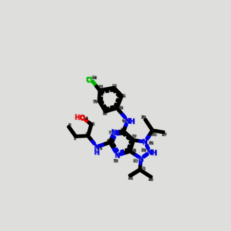 CCC(CO)Nc1nc(Nc2ccc(Cl)cc2)c2c(n1)N(C(C)C)NN2C(C)C